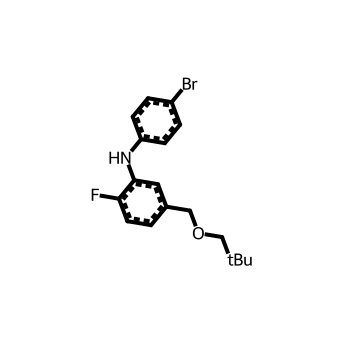 CC(C)(C)COCc1ccc(F)c(Nc2ccc(Br)cc2)c1